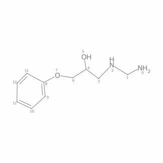 NCNCC(O)COc1ccccc1